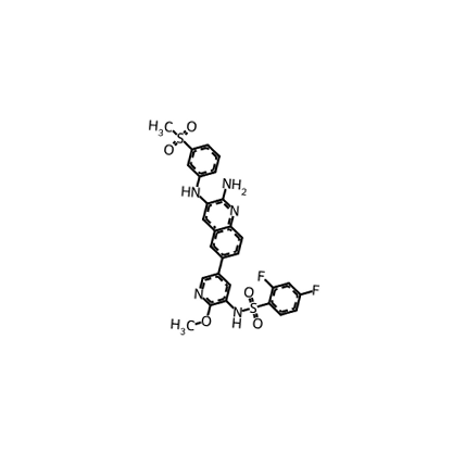 COc1ncc(-c2ccc3nc(N)c(Nc4cccc(S(C)(=O)=O)c4)cc3c2)cc1NS(=O)(=O)c1ccc(F)cc1F